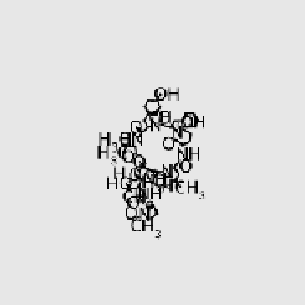 CC(=O)N1CCC[C@H]1C(=O)NC(C(=O)N[C@@H]1C(=O)NC(CC(C)C)C(=O)NC2CCC(O)N(C2=O)C(Cc2ccccc2)C(=O)N(C)C(Cc2ccc(O)cc2)C(=O)NC(C(C)C)C(=O)O[C@@H]1C)C(C)O